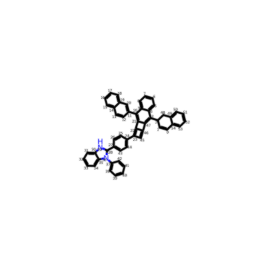 C1=CC(c2c3ccccc3c(-c3ccc4ccccc4c3)c3c4c(-c5ccc(C6Nc7ccccc7N6c6ccccc6)cc5)cc-4c23)Cc2ccccc21